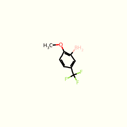 Bc1cc(C(F)(F)F)ccc1OC